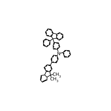 CC1(C)c2cc(-c3ccc(N(c4ccccc4)c4ccc(C5(c6ccccc6)c6ccccc6-c6ccccc65)cc4)cc3)ccc2C2C=CC=CC21